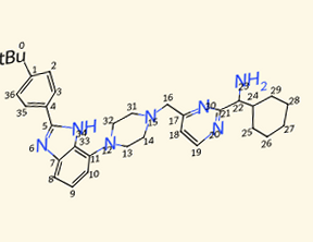 CC(C)(C)c1ccc(-c2nc3cccc(N4CCN(Cc5ccnc(C(N)C6CCCCC6)n5)CC4)c3[nH]2)cc1